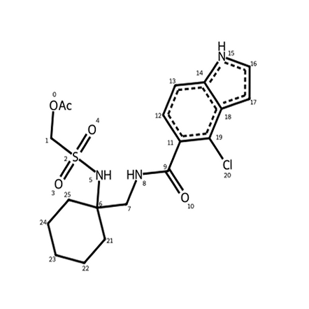 CC(=O)OCS(=O)(=O)NC1(CNC(=O)c2ccc3[nH]ccc3c2Cl)CCCCC1